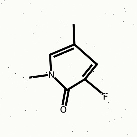 Cc1cc(F)c(=O)n(C)c1